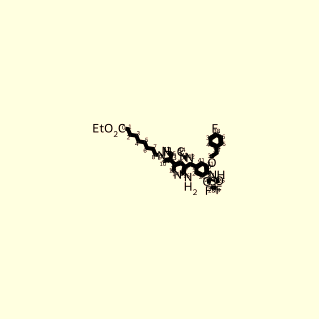 CCOC(=O)CCCCCCCCn1cc(-c2cnc(N)c3c(-c4ccc(NS(=O)(=O)C(F)F)c(OCCc5ccc(F)cc5)c4)nn(C)c23)cn1